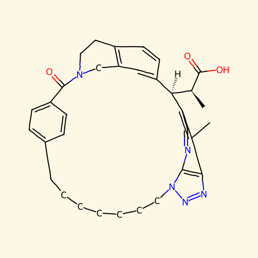 Cc1c2cnc3c1nnn3CCCCCCCc1ccc(cc1)C(=O)N1CCc3ccc(cc3C1)[C@H]2[C@H](C)C(=O)O